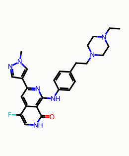 CCN1CCN(CCc2ccc(Nc3nc(-c4cnn(C)c4)cc4c(F)c[nH]c(=O)c34)cc2)CC1